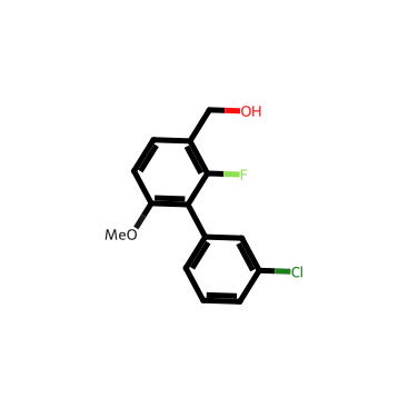 COc1ccc(CO)c(F)c1-c1cccc(Cl)c1